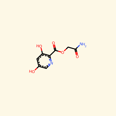 NC(=O)COC(=O)c1ncc(O)cc1O